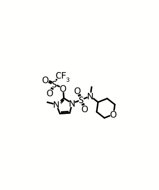 CN(C1CCOCC1)S(=O)(=O)n1cc[n+](C)c1OS(=O)(=O)C(F)(F)F